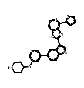 c1csc(-c2nccc3[nH]c(-c4n[nH]c5ccc(-c6cncc(OC7CCNCC7)c6)cc45)nc23)c1